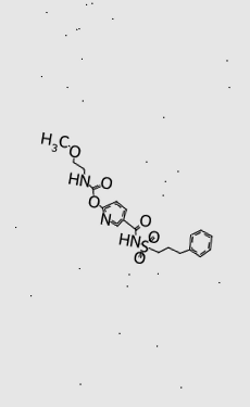 COCCNC(=O)Oc1ccc(C(=O)NS(=O)(=O)CCCc2ccccc2)cn1